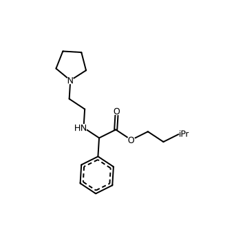 CC(C)CCOC(=O)C(NCCN1CCCC1)c1ccccc1